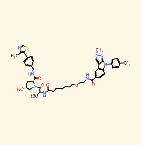 Cc1ncsc1-c1ccc(CNC(=O)[C@@H]2C[C@@H](O)CN2C(=O)[C@@H](NC(=O)CCCCCCOCCNC(=O)c2ccc3c(c2)c2cn(C)nc2n3-c2ccc(C(F)(F)F)cc2)C(C)(C)C)cc1